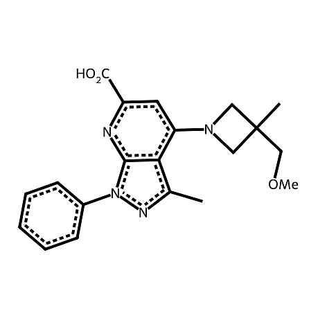 COCC1(C)CN(c2cc(C(=O)O)nc3c2c(C)nn3-c2ccccc2)C1